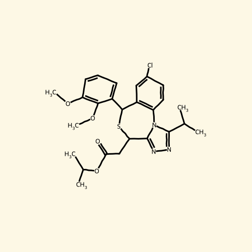 COc1cccc(C2SC(CC(=O)OC(C)C)c3nnc(C(C)C)n3-c3ccc(Cl)cc32)c1OC